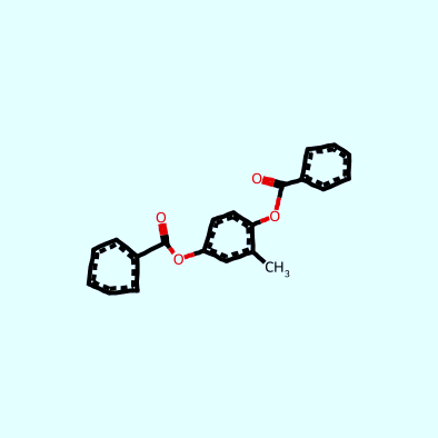 Cc1cc(OC(=O)c2ccccc2)ccc1OC(=O)c1ccccc1